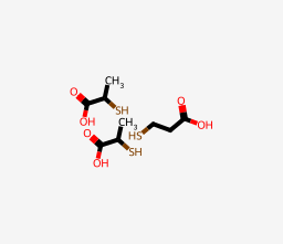 CC(S)C(=O)O.CC(S)C(=O)O.O=C(O)CCS